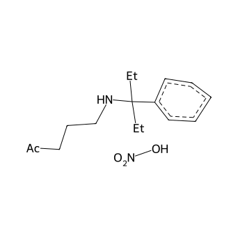 CCC(CC)(NCCCC(C)=O)c1ccccc1.O=[N+]([O-])O